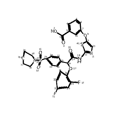 O=C(O)c1cccc(Oc2cnc(NC(=O)C(Oc3ccc(F)cc3F)c3ccc(S(=O)(=O)N4CCCCC4)cc3)s2)c1